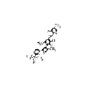 Cc1cnc(COc2cc(C)n(-c3cc(-c4ccnc(C(C)(C)O)n4)ncc3C)c(=O)c2Cl)c(F)c1